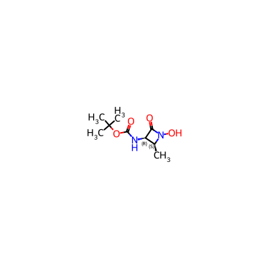 C[C@H]1[C@@H](NC(=O)OC(C)(C)C)C(=O)N1O